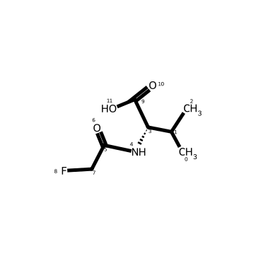 CC(C)[C@H](NC(=O)CF)C(=O)O